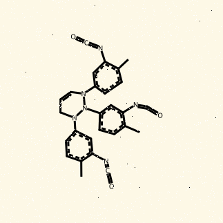 Cc1ccc(N2C=CCN(c3ccc(C)c(N=C=O)c3)N2c2ccc(C)c(N=C=O)c2)cc1N=C=O